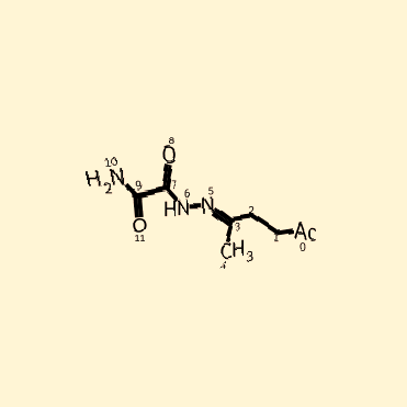 CC(=O)CC/C(C)=N/NC(=O)C(N)=O